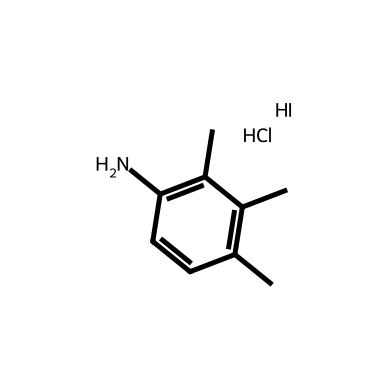 Cc1ccc(N)c(C)c1C.Cl.I